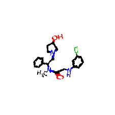 CN(C(=O)CNc1cccc(Cl)c1)C(CN1CCC(O)C1)c1ccccc1